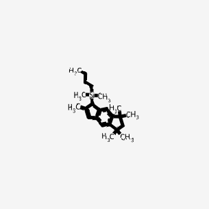 CCCC[Si](C)(C)C1C(C)=Cc2cc3c(cc21)C(C)(C)CC3(C)C